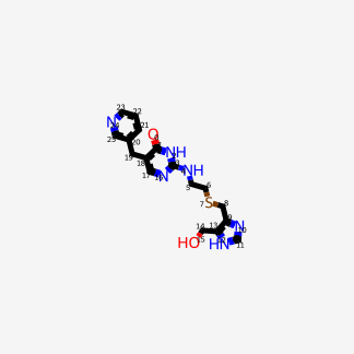 O=c1[nH]c(NCCSCc2nc[nH]c2CO)ncc1Cc1cccnc1